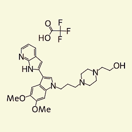 COc1cc2c(-c3cc4cccnc4[nH]3)cn(CCCN3CCN(CCO)CC3)c2cc1OC.O=C(O)C(F)(F)F